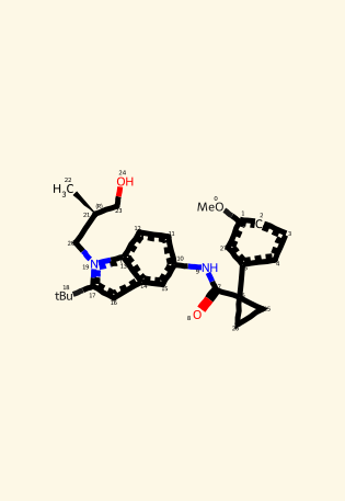 COc1cccc(C2(C(=O)Nc3ccc4c(c3)cc(C(C)(C)C)n4C[C@@H](C)CO)CC2)c1